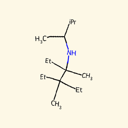 CCC(C)(CC)C(C)(CC)NC(C)C(C)C